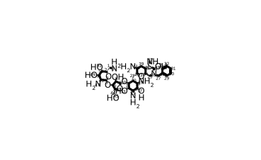 NC[C@@H]1O[C@H](O[C@H]2[C@@H](O)[C@H](O[C@@H]3[C@@H](O)[C@H](N)[C@@H](O)[C@H](N)[C@H]3C[C@H]3O[C@H](CN(Cc4ccccc4)[C@@H](O)SN)CC[C@H]3N)O[C@@H]2CO)[C@H](N)[C@@H](O)[C@@H]1O